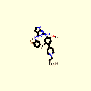 Cc1cc(Nc2nc(Nc3ccccc3SC(C)C)c3cc[nH]c3n2)c(OC(C)C)cc1C1CCN(CCC(=O)O)CC1